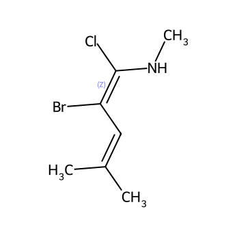 CN/C(Cl)=C(/Br)C=C(C)C